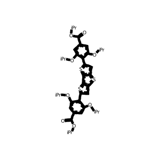 CC(C)OC(=O)c1cc(OC(C)C)c(-c2cc3sc4cc(-c5c(OC(C)C)cc(C(=O)OC(C)C)cc5OC(C)C)sc4c3s2)c(OC(C)C)c1